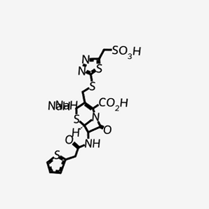 O=C(Cc1cccs1)NC1C(=O)N2C(C(=O)O)=C(CSc3nnc(CS(=O)(=O)O)s3)CS[C@H]12.[NaH].[NaH]